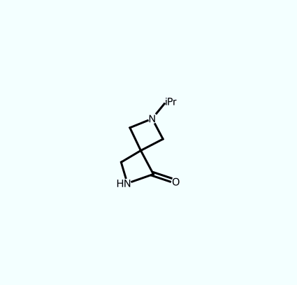 CC(C)N1CC2(CNC2=O)C1